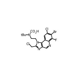 CC(C)(C)N(CCn1c(CCl)nc2cnc3c(F)c(Br)c(Cl)cc3c21)C(=O)O